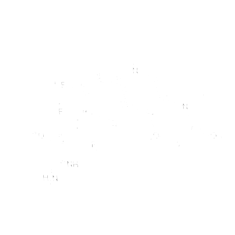 CN1C(=O)COc2c1cnc1cc(F)c(C(F)(F)C(=O)NN)cc21